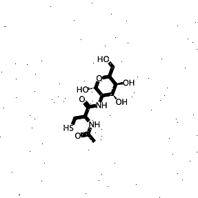 CC(=O)NC(CS)C(=O)NC1[C@H](O)OC(CO)[C@@H](O)[C@@H]1O